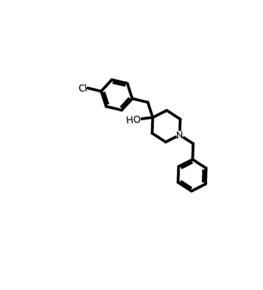 OC1(Cc2ccc(Cl)cc2)CCN(Cc2ccccc2)CC1